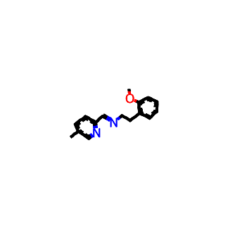 COc1ccccc1CCN=Cc1ccc(C)cn1